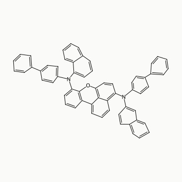 c1ccc(-c2ccc(N(c3cccc4c3Oc3ccc(N(c5ccc(-c6ccccc6)cc5)c5ccc6ccccc6c5)c5cccc-4c35)c3cccc4ccccc34)cc2)cc1